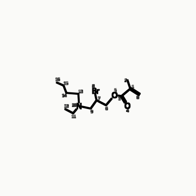 C=C(C)C(=O)OCC(Br)CN(CC)CCCC